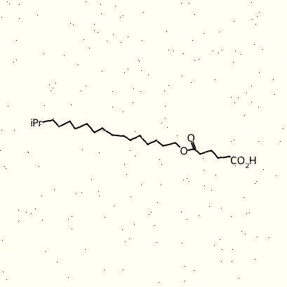 CC(C)CCCCCCCCCCCCCCCOC(=O)CCCCC(=O)O